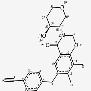 C#Cc1ccc(Cc2cc3c(c(C)c2C)OCN([C@H]2COCC[C@@H]2O)C3=O)cn1